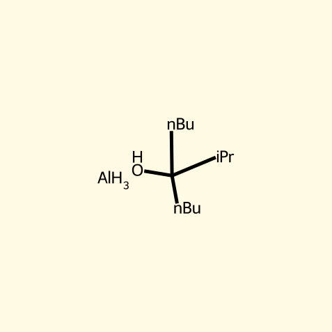 CCCCC(O)(CCCC)C(C)C.[AlH3]